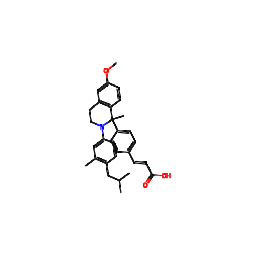 COc1ccc2c(c1)CCN(c1ccc(CC(C)C)c(C)c1)C2(C)c1ccc(/C=C/C(=O)O)cc1